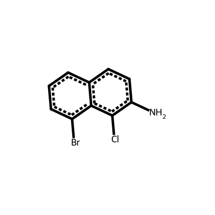 Nc1ccc2cccc(Br)c2c1Cl